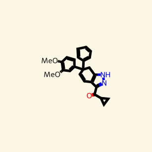 COc1ccc(C2(c3ccccc3)C=Cc3c(C(=O)C4CC4)n[nH]c3C2)cc1OC